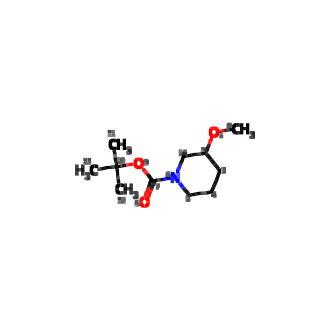 COC1CCCN(C(=O)OC(C)(C)C)C1